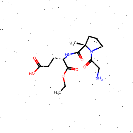 CCOC(=O)[C@H](CCC(=O)O)NC(=O)[C@]1(C)CCCN1C(=O)CN